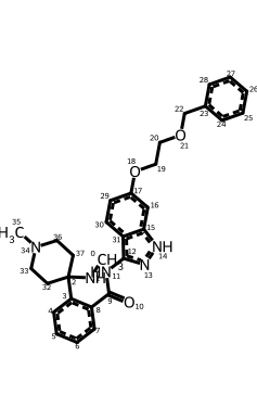 CNC1(c2ccccc2C(=O)Nc2n[nH]c3cc(OCCOCc4ccccc4)ccc23)CCN(C)CC1